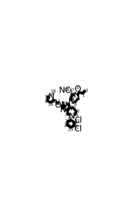 C=CC(=O)N1CCN(c2nc(OC[C@@H]3CCCN3C)nc3c2CCCN(c2cccc(Cl)c2Cl)C3)C[C@@H]1CC#N